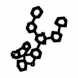 c1ccc(-c2cccc(-c3cc(-c4ccc5c(c4)C4(c6ccccc6O5)c5ccccc5-c5ccccc54)nc(-c4cccc(-c5ccccc5)c4)n3)c2)cc1